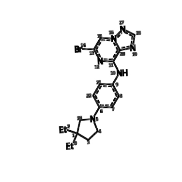 CCC1(CC)CCN(c2ccc(Nc3nc(Br)cn4ncnc34)cc2)C1